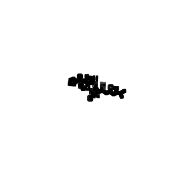 COc1c(Nc2n[s+]([O-])nc2NCC2CC(C(C)C)=CO2)csc1S(=O)(=O)N1CCCC1